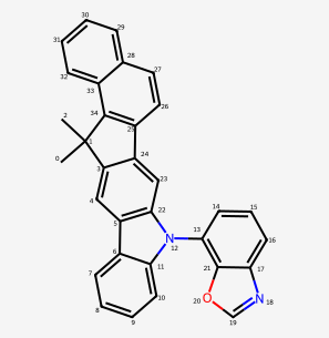 CC1(C)c2cc3c4ccccc4n(-c4cccc5ncoc45)c3cc2-c2ccc3ccccc3c21